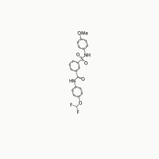 COc1ccc(NS(=O)(=O)c2cccc(C(=O)Nc3ccc(OC(F)F)cc3)c2)cc1